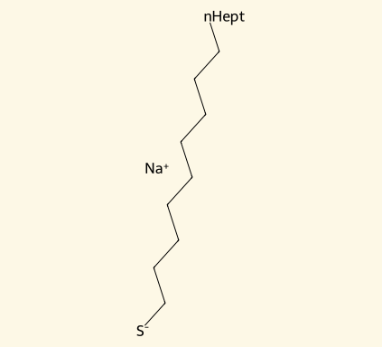 CCCCCCCCCCCCCCCC[S-].[Na+]